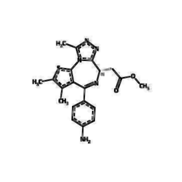 COC(=O)C[C@@H]1N=C(c2ccc(N)cc2)c2c(sc(C)c2C)-n2c(C)nnc21